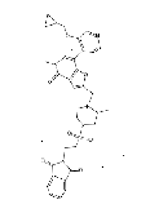 CC1CN(S(=O)(=O)CCN2C(=O)c3ccccc3C2=O)CCN1Cc1cc2c(=O)n(C)cc(-c3ccncc3OCC3CC3)c2o1